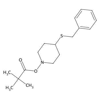 CC(C)(C)C(=O)ON1CCC(SCc2ccccc2)CC1